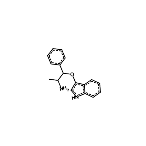 CC(N)C(Oc1c[nH]c2ccccc12)c1ccccc1